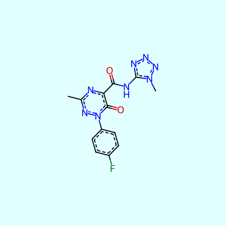 Cc1nc(C(=O)Nc2nnnn2C)c(=O)n(-c2ccc(F)cc2)n1